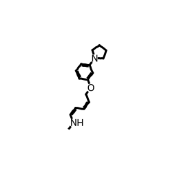 CN/C=C\C=C/COc1cccc(N2CCCC2)c1